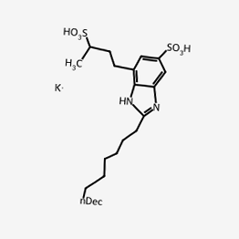 CCCCCCCCCCCCCCCCc1nc2cc(S(=O)(=O)O)cc(CCC(C)S(=O)(=O)O)c2[nH]1.[K]